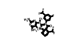 CCN(c1nc(N)nc(N)c1C#N)c1nc2cccc(C(F)F)c2c(=O)n1-c1cc(F)cc(C(F)F)c1